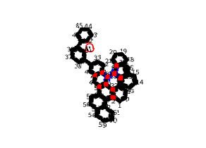 c1ccc(-c2ccccc2-n2c3ccccc3c3ccccc32)c(-c2ccccc2N(c2ccc(-c3cccc4c3oc3ccccc34)cc2)c2ccc3c(ccc4ccccc43)c2)c1